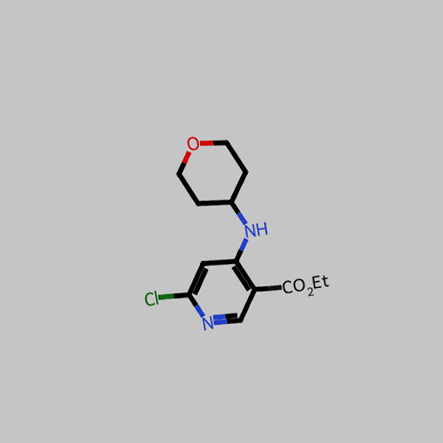 CCOC(=O)c1cnc(Cl)cc1NC1CCOCC1